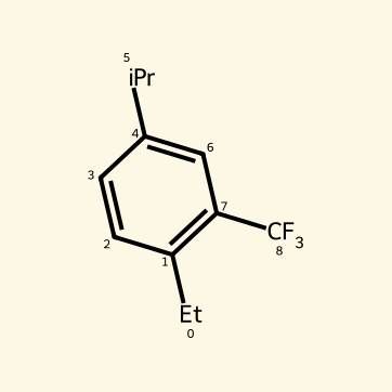 CCc1ccc(C(C)C)cc1C(F)(F)F